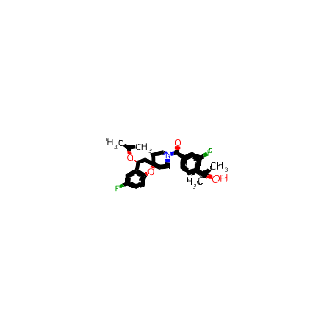 CC(C)O[C@@H]1CC2(CCN(C(=O)c3ccc(C(C)(C)O)c(F)c3)CC2)Oc2ccc(F)cc21